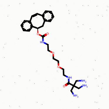 NCC(CN)(CN)C(=O)NCCOCCOCCNC(=O)O[C@@H]1Cc2ccccc2/C=C\c2ccccc21